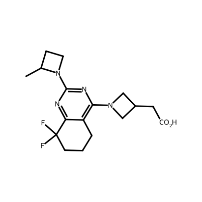 CC1CCN1c1nc(N2CC(CC(=O)O)C2)c2c(n1)C(F)(F)CCC2